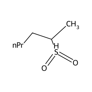 CCCCC(C)[SH](=O)=O